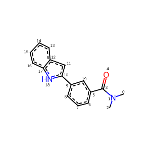 CN(C)C(=O)c1cccc(-c2cc3ccccc3[nH]2)c1